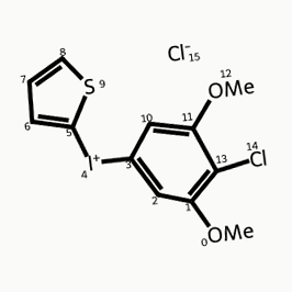 COc1cc([I+]c2cccs2)cc(OC)c1Cl.[Cl-]